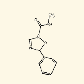 CNC(=O)N1[C]=NC(c2ccccc2)O1